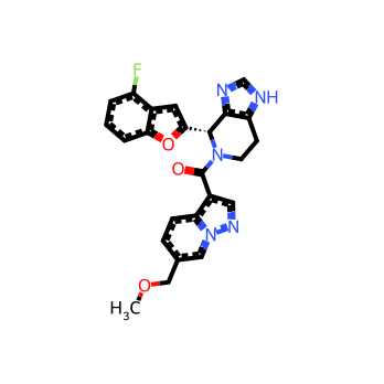 COCc1ccc2c(C(=O)N3CCc4[nH]cnc4[C@H]3c3cc4c(F)cccc4o3)cnn2c1